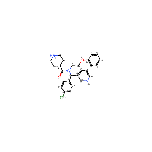 O=C(C1CCNCC1)N(CCOc1ccccc1)C(c1ccc(Cl)cc1)c1cccnc1